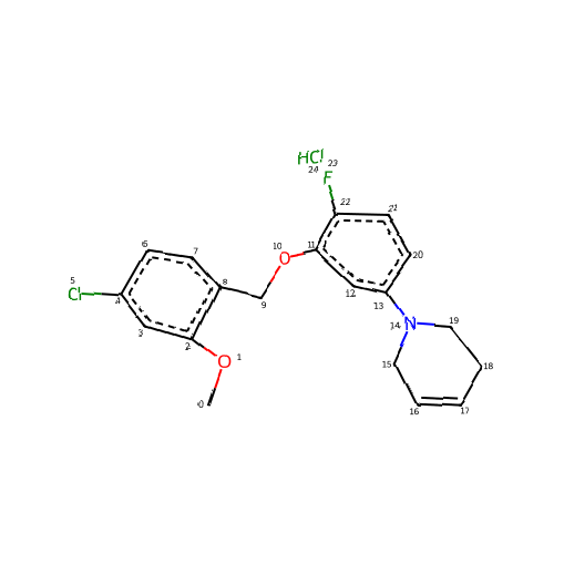 COc1cc(Cl)ccc1COc1cc(N2CC=CCC2)ccc1F.Cl